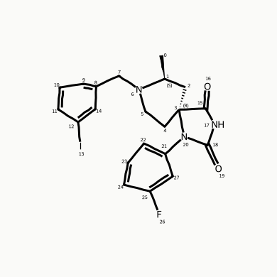 C[C@H]1C[C@]2(CCN1Cc1cccc(I)c1)C(=O)NC(=O)N2c1cccc(F)c1